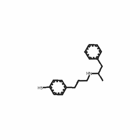 CC(Cc1ccccc1)NCCCc1ccc(S)cc1